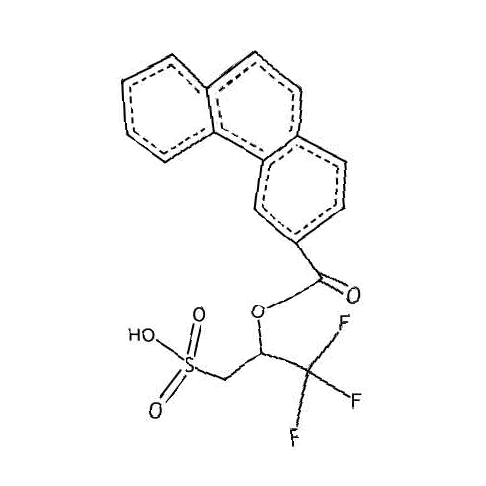 O=C(OC(CS(=O)(=O)O)C(F)(F)F)c1ccc2ccc3ccccc3c2c1